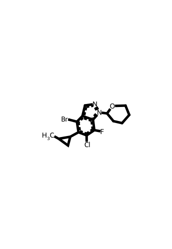 CC1CC1c1c(Cl)c(F)c2c(cnn2C2CCCCO2)c1Br